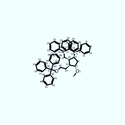 CO[C@H]1C[C@H](P(c2ccccc2)c2ccccc2)[C@H](CP(c2ccccc2)c2ccccc2)[C@@H]1CCOC(c1ccccc1)(c1ccccc1)c1ccccc1